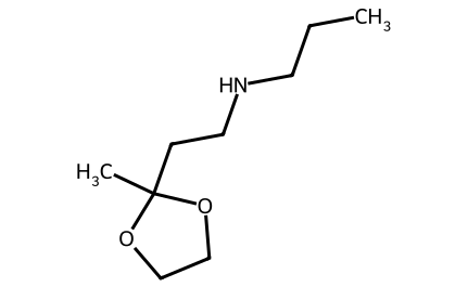 CCCNCCC1(C)OCCO1